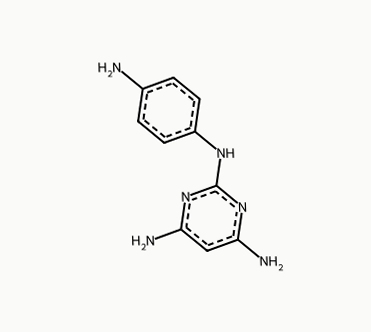 Nc1ccc(Nc2nc(N)cc(N)n2)cc1